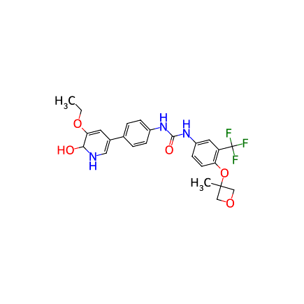 CCOC1=CC(c2ccc(NC(=O)Nc3ccc(OC4(C)COC4)c(C(F)(F)F)c3)cc2)=CNC1O